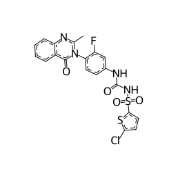 Cc1nc2ccccc2c(=O)n1-c1ccc(NC(=O)NS(=O)(=O)c2ccc(Cl)s2)cc1F